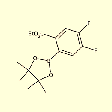 CCOC(=O)c1cc(F)c(F)cc1B1OC(C)(C)C(C)(C)O1